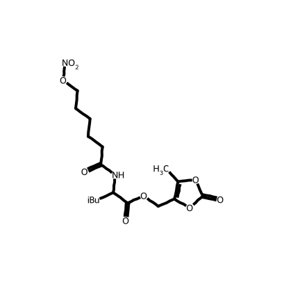 CCC(C)C(NC(=O)CCCCCO[N+](=O)[O-])C(=O)OCc1oc(=O)oc1C